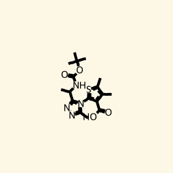 Cc1sc(-n2c(C)nnc2C(C)NC(=O)OC(C)(C)C)c(C(=O)O)c1C